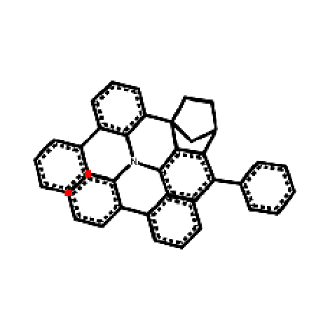 c1ccc(-c2ccccc2N2c3ccc(-c4ccccc4)c4c3C3(CCC4C3)c3cccc(-c4ccccc4)c32)cc1